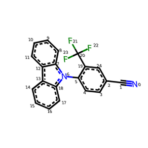 N#Cc1ccc(-n2c3ccccc3c3ccccc32)c(C(F)(F)F)c1